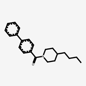 CCCCC1CCN(C(=O)c2ccc(-c3ccccc3)cc2)CC1